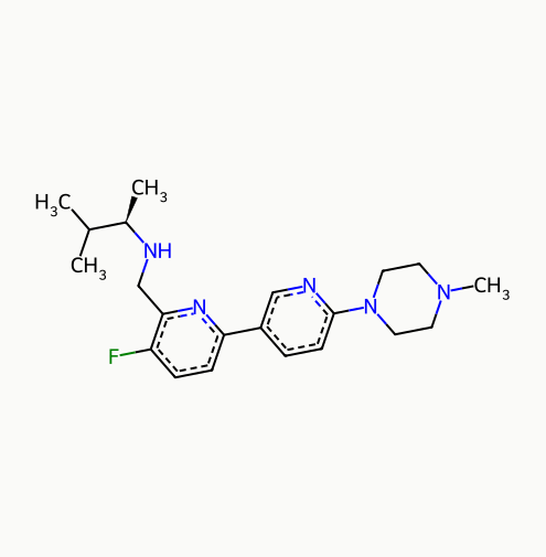 CC(C)[C@@H](C)NCc1nc(-c2ccc(N3CCN(C)CC3)nc2)ccc1F